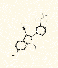 CCn1c(-c2cccc(NP(C)(C)=O)c2)c(C#N)c2ccc(OC)cc21